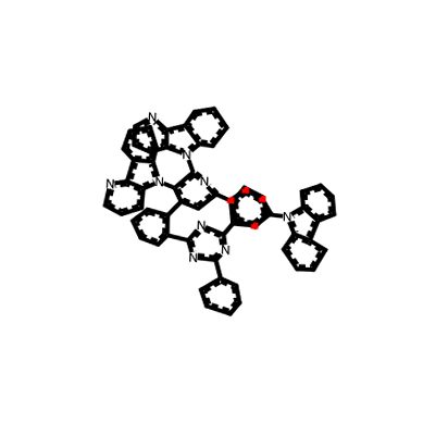 c1ccc(-c2nc(-c3ccccc3)nc(-c3ccccc3-c3cc(-c4ccc(-n5c6ccccc6c6ccccc65)cc4)nc(-n4c5ccccc5c5ncccc54)c3-n3c4ccccc4c4ncccc43)n2)cc1